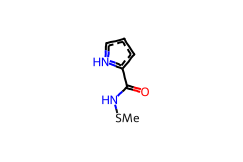 CSNC(=O)c1ccc[nH]1